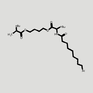 CCCCC(C)C(=O)OCCCCOC(=O)C(CCCC)NC(=O)CCCCCCCCC(C)=O